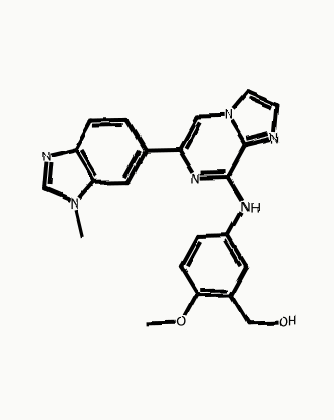 COc1ccc(Nc2nc(-c3ccc4ncn(C)c4c3)cn3ccnc23)cc1CO